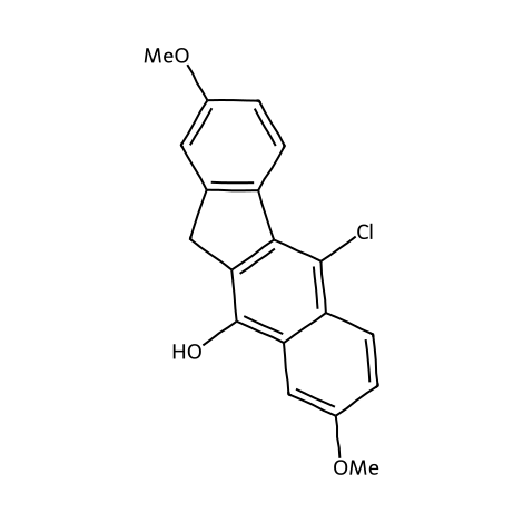 COc1ccc2c(c1)Cc1c-2c(Cl)c2ccc(OC)cc2c1O